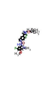 COc1cc(F)cc([C@H](CN(C)C)NC(=O)N2CCc3cc(-c4cnn(COCC[Si](C)(C)C)c4F)c(F)cc32)c1